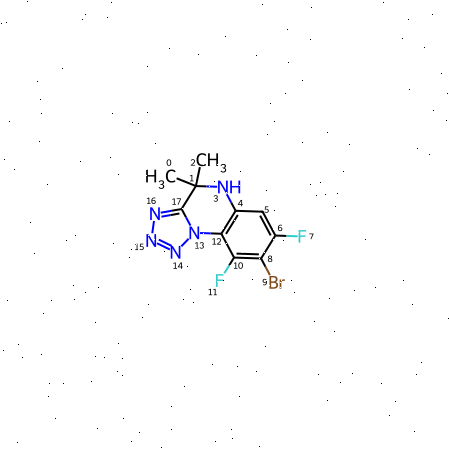 CC1(C)Nc2cc(F)c(Br)c(F)c2-n2nnnc21